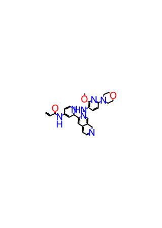 C=CC(=O)Nc1ccnc(C2=CC3=CC=NCC3=CN2Nc2ccc(N3CCOCC3)nc2OC)c1